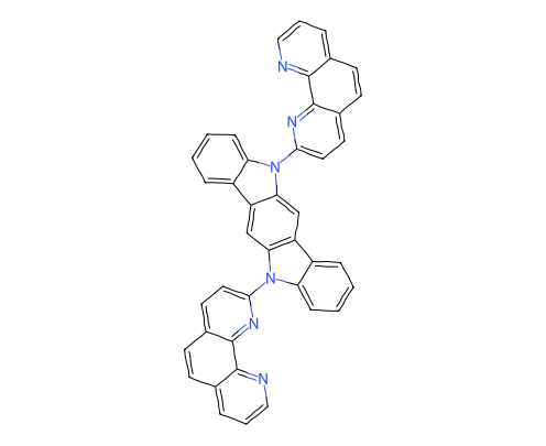 c1cnc2c(c1)ccc1ccc(-n3c4ccccc4c4cc5c(cc43)c3ccccc3n5-c3ccc4ccc5cccnc5c4n3)nc12